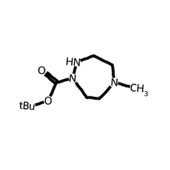 CN1CCNN(C(=O)OC(C)(C)C)CC1